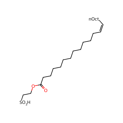 CCCCCCCC/C=C\CCCCCCCCCCCC(=O)OCCS(=O)(=O)O